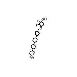 CCCC1CCC(C2CCC(C3CCC(c4ccc(COc5ccc(OCC)c(F)c5F)cc4)CC3)CC2)OC1